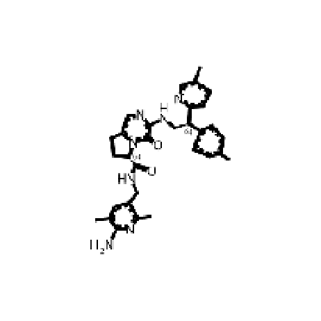 Cc1ccc([C@@H](CNc2ncc3n(c2=O)[C@H](C(=O)NCc2cc(C)c(N)nc2C)CC3)c2ccc(C)cn2)cc1